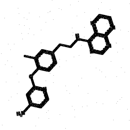 Cc1cc(CCNc2ncnc3nccnc23)ccc1Oc1cc(N)ccn1